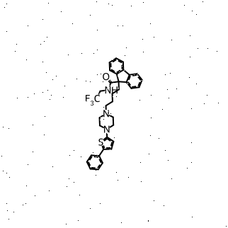 O=C(NCC(F)(F)F)C1(CCCCN2CCN(c3ccc(-c4ccccc4)s3)CC2)c2ccccc2-c2ccccc21